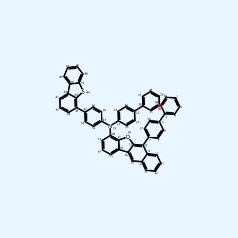 c1ccc(-c2ccc(-c3c4ccccc4cc4c3oc3c(N(c5ccc(-c6ccccc6)cc5)c5ccc(-c6cccc7c6sc6ccccc67)cc5)cccc34)cc2)cc1